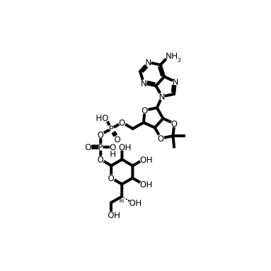 CC1(C)OC2C(COP(=O)(O)OP(=O)(O)OC3OC([C@H](O)CO)C(O)C(O)C3O)OC(n3cnc4c(N)ncnc43)C2O1